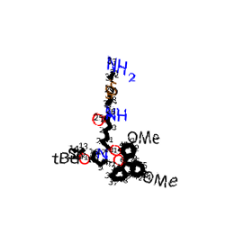 COc1ccc(C(OC[C@@H]2C[C@@H](O[Si](C)(C)C(C)(C)C)CN2C(=O)CCCCC(=O)NCCSSCCN)(c2ccccc2)c2ccc(OC)cc2)cc1